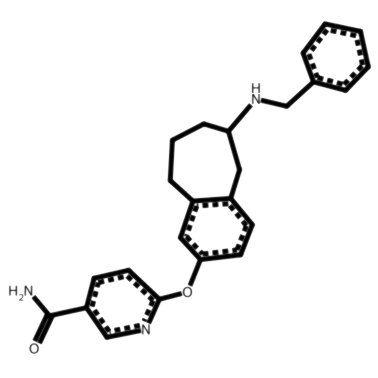 NC(=O)c1ccc(Oc2ccc3c(c2)CCCC(NCc2ccccc2)C3)nc1